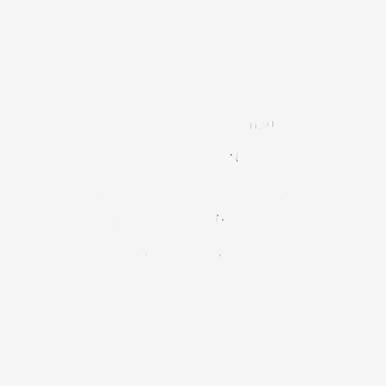 CCCCn1cc[n+](C)c1C.O=S(=O)([O-])Cc1ccccc1